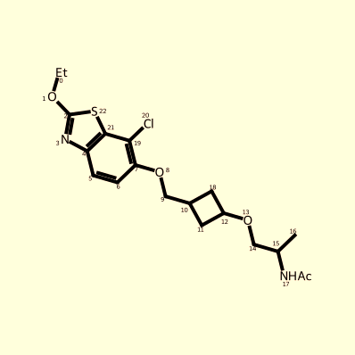 CCOc1nc2ccc(OCC3CC(OCC(C)NC(C)=O)C3)c(Cl)c2s1